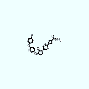 NC(=O)C1CN(c2ncc(N3CC[C@@H](Oc4ccc(Oc5ccc(F)cc5)nc4)C3=O)cn2)C1